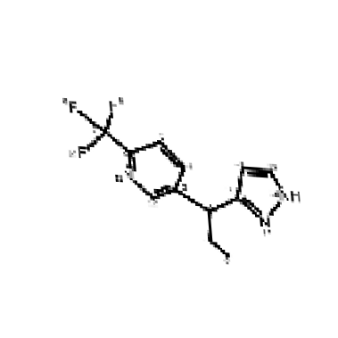 CCC(c1ccc(C(F)(F)F)nc1)c1cc[nH]n1